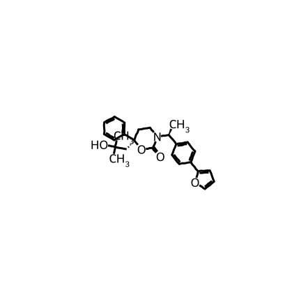 C[C@@H](c1ccc(-c2ccco2)cc1)N1CC[C@](CC(C)(C)O)(c2ccccc2)OC1=O